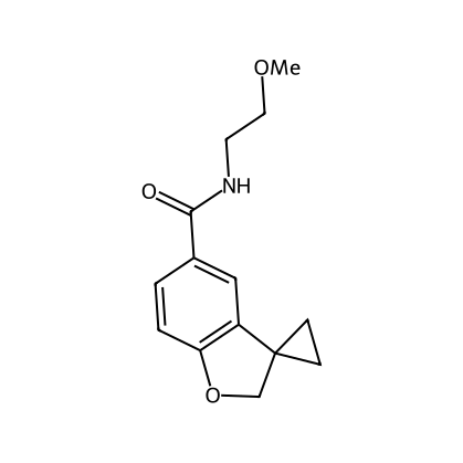 COCCNC(=O)c1ccc2c(c1)C1(CC1)CO2